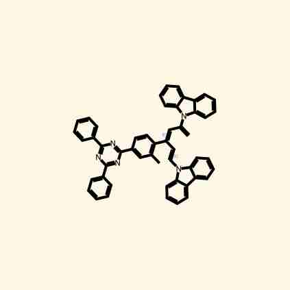 C=C(/C=C(\C=C\n1c2ccccc2c2ccccc21)c1ccc(-c2nc(-c3ccccc3)nc(-c3ccccc3)n2)cc1C)n1c2ccccc2c2ccccc21